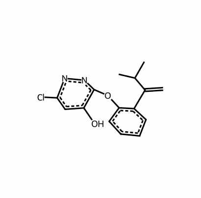 C=C(c1ccccc1Oc1nnc(Cl)cc1O)C(C)C